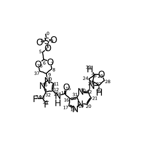 CS(=O)(=O)OCC1OCC(n2cc(NC(=O)c3cnn4ccc(N5C[C@H]6C[C@@H]5CO6)nc34)c(C(F)F)n2)CO1